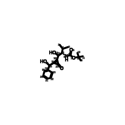 CC(C)[C@H](NC(=O)OC(C)(C)C)C(O)c1c(C(O)c2ccccc2)c1=O